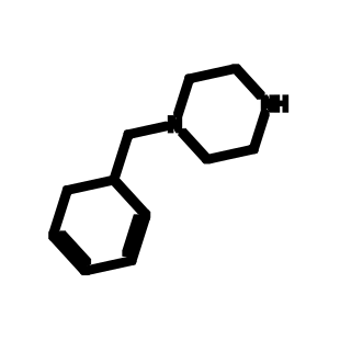 C1=CCC(CN2CCNCC2)C=C1